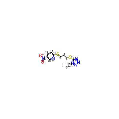 Cn1nnnc1SCCCSc1ccc([N+](=O)[O-])cn1